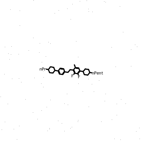 CCCCCC1CCC(c2cc(C)c(CCc3ccc(C4CCC(CCC)CC4)cc3)c(F)c2F)CC1